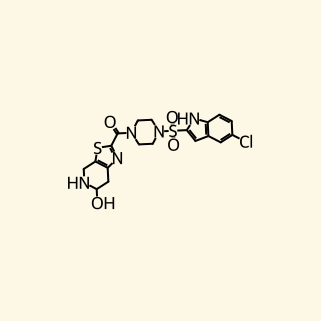 O=C(c1nc2c(s1)CNC(O)C2)N1CCN(S(=O)(=O)c2cc3cc(Cl)ccc3[nH]2)CC1